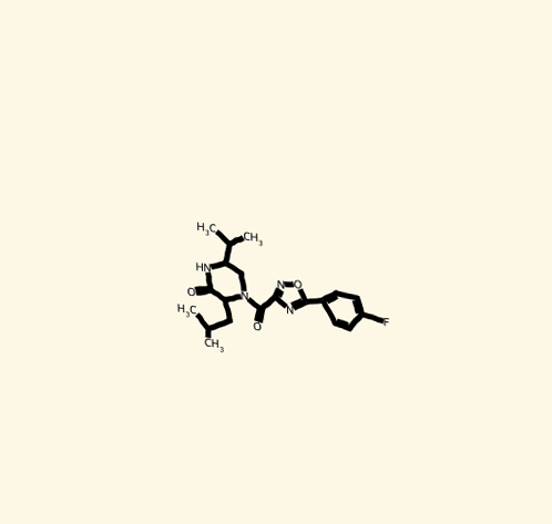 CC(C)CC1C(=O)NC(C(C)C)CN1C(=O)c1noc(-c2ccc(F)cc2)n1